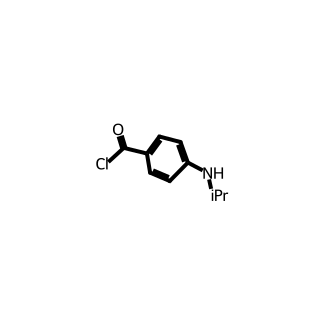 CC(C)Nc1ccc(C(=O)Cl)cc1